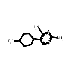 Nc1ncc(C2CCC(C(F)(F)F)CC2)c(N)n1